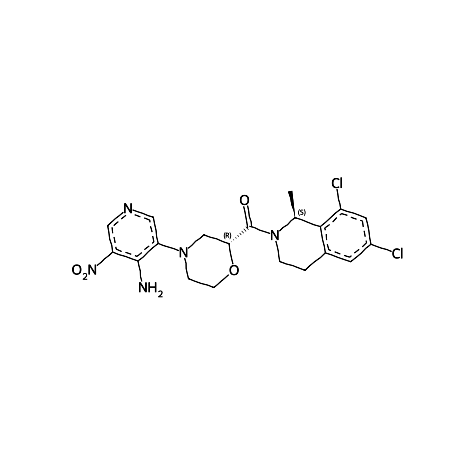 C[C@H]1c2c(Cl)cc(Cl)cc2CCN1C(=O)[C@H]1CN(c2cncc([N+](=O)[O-])c2N)CCO1